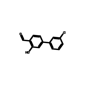 O=Cc1ccc(-c2cccc(Cl)c2)cc1O